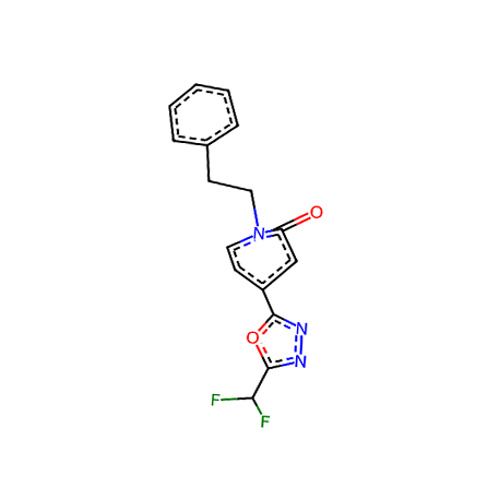 O=c1cc(-c2nnc(C(F)F)o2)ccn1CCc1ccccc1